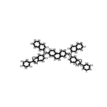 c1ccc(-c2nc3ccc(N(c4ccc5ccccc5c4)c4ccc5c(ccc6cc(N(c7ccc8ccccc8c7)c7ccc8nc(-c9ccccc9)oc8c7)ccc65)c4)cc3o2)cc1